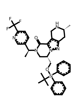 C[C@@H]1Cc2nn3c(c2CN1)C(=O)N([C@@H](C)c1ccc(C(F)(F)F)nc1)C[C@H]3CO[Si](c1ccccc1)(c1ccccc1)C(C)(C)C